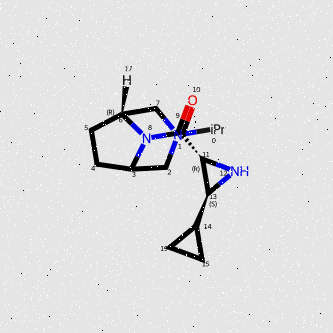 CC(C)N1CC2CC[C@H](C1)N2C(=O)[C@@H]1N[C@H]1C1CC1